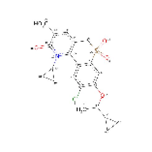 CC(Oc1cc2c(cc1Cl)-c1c(cc(C(=O)O)c(=O)n1C1CC1)CS2(=O)=O)C1CC1